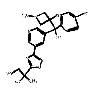 CC(C)c1ccc(C(O)(c2cncc(-c3noc(C(C)(O)CO)n3)c2)C2(C)CN(C)C2)cc1